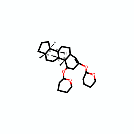 C[C@@]12CCC[C@H]1[C@@H]1CCC3C=C(OC4CCCCO4)CC(OC4CCCCO4)[C@]3(C)[C@@H]1CC2